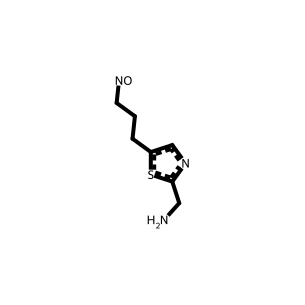 NCc1ncc(CCCN=O)s1